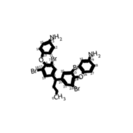 CCCC(c1cc(Br)c(Oc2ccc(N)cc2)c(Br)c1)c1cc(Br)c(Oc2ccc(N)cc2)c(Br)c1